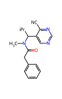 CC(C)C(c1cncnc1C#N)N(C)C(=O)Cc1ccccc1